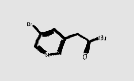 CC(C)(C)C(=O)Cc1cncc(Br)c1